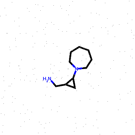 NCC1CC1N1CCCCCC1